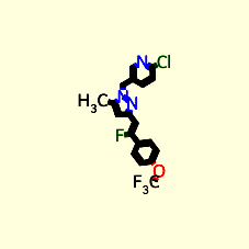 Cc1cc(C=C(F)c2ccc(OC(F)(F)F)cc2)nn1Cc1ccc(Cl)nc1